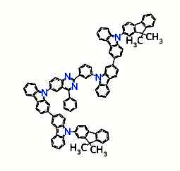 CC1(C)c2ccccc2-c2ccc(-n3c4ccccc4c4cc(-c5ccc6c7ccccc7n(-c7cccc(-c8nc(-c9ccccc9)c9cc(-n%10c%11ccccc%11c%11ccc(-c%12ccc%13c(c%12)c%12ccccc%12n%13-c%12ccc%13c(c%12)C(C)(C)c%12ccccc%12-%13)cc%11%10)ccc9n8)c7)c6c5)ccc43)cc21